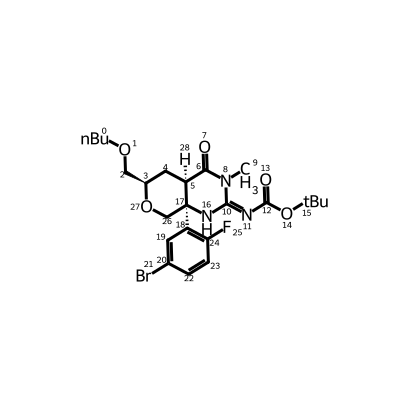 CCCCOC[C@H]1C[C@H]2C(=O)N(C)/C(=N\C(=O)OC(C)(C)C)N[C@@]2(c2cc(Br)ccc2F)CO1